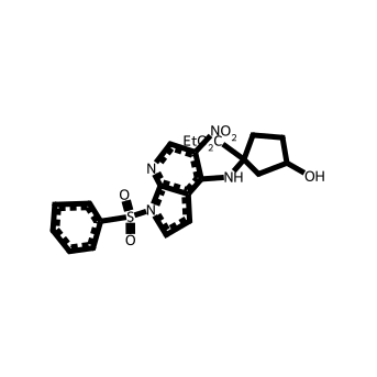 CCOC(=O)C1(Nc2c([N+](=O)[O-])cnc3c2ccn3S(=O)(=O)c2ccccc2)CCC(O)C1